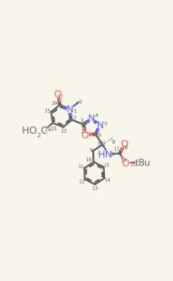 Cn1c(-c2nnc([C@](C)(Cc3ccccc3)NC(=O)OC(C)(C)C)o2)cc(C(=O)O)cc1=O